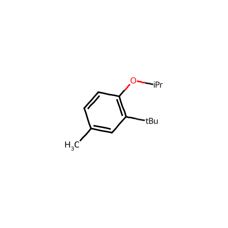 Cc1ccc(OC(C)C)c(C(C)(C)C)c1